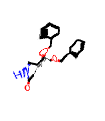 O=C1C[C@@H]([C@@H](COCc2ccccc2)OCc2ccccc2)CN1